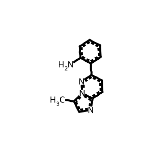 Cc1cnc2ccc(-c3ccccc3N)nn12